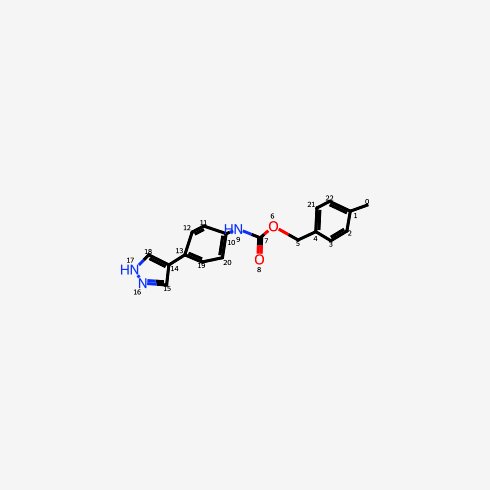 Cc1ccc(COC(=O)Nc2ccc(-c3cn[nH]c3)cc2)cc1